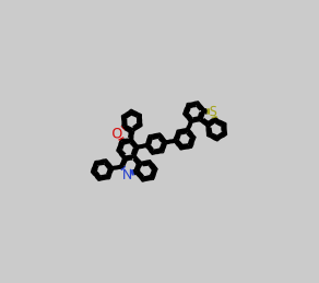 c1ccc(-c2nc3ccccc3c3c(-c4ccc(-c5cccc(-c6cccc7sc8ccccc8c67)c5)cc4)c4c(cc23)oc2ccccc24)cc1